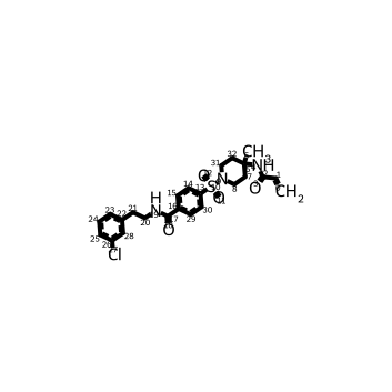 C=CC(=O)NC1(C)CCN(S(=O)(=O)c2ccc(C(=O)NCCc3cccc(Cl)c3)cc2)CC1